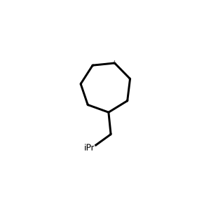 CC(C)CC1CC[CH]CCC1